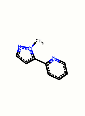 Cn1nccc1-c1ccccn1